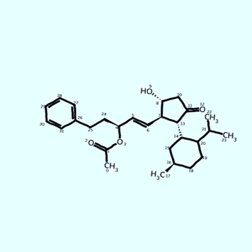 CC(=O)O[C@H](C=C[C@H]1[C@H](O)CC(=O)[C@@H]1C1C[C@H](C)CCC1C(C)C)CCc1ccccc1